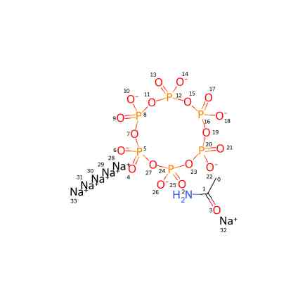 CC(N)=O.O=P1([O-])OP(=O)([O-])OP(=O)([O-])OP(=O)([O-])OP(=O)([O-])OP(=O)([O-])O1.[Na+].[Na+].[Na+].[Na+].[Na+].[Na+]